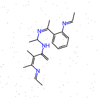 C=C(NC(C)/N=C(/C)c1ccccc1/N=C/C)/C(C)=C(C)\N=C\C